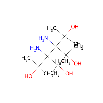 CC(C)(O)C(N)(C(C)(C)O)C(N)(C(C)(C)O)C(C)(C)O